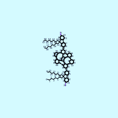 CCCCCCCCC1(CCCCCCCC)c2cc(I)ccc2-c2ccc(-c3cc4c5cccc(c5)c5cccc6c7cc(-c8ccc9c(c8)C(CCCCCCCC)(CCCCCCCC)c8cc(I)ccc8-9)cc8c9cccc(c9)c9cccc%10c(c3)c4c3cc(c(cc3c9%10)c87)c56)cc21